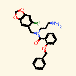 NCCCN(Cc1cc2c(cc1Cl)OCO2)C(=O)c1ccccc1OCc1ccccc1